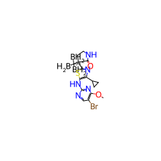 BC(B)(B)[C@@]1(c2nc(C3CC3)c(Nc3ncc(Br)c(OC)n3)s2)CCNC1=O